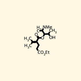 CCOC(=O)CCC(C(=O)OC(C(C)O)C(C)NC)=C(C)C